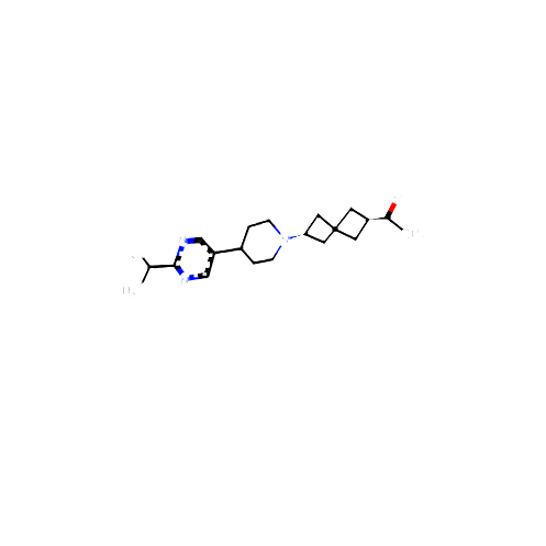 CC(=O)[C@H]1CC2(C1)C[C@H](N1CCC(c3cnc(C(C)C)nc3)CC1)C2